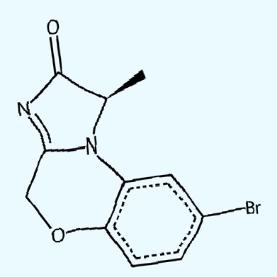 C[C@@H]1C(=O)N=C2COc3ccc(Br)cc3N21